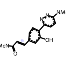 CNC(=O)/C=C/c1ccc(-c2ccc(NC)nn2)c(O)c1